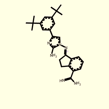 CC(C)(C)c1cc(-c2cn(/N=C3\CCc4c(C(=N)N)cccc43)c(N)n2)cc(C(C)(C)C)c1